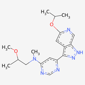 COC(C)CN(C)c1cc(-c2n[nH]c3cnc(OC(C)C)cc23)ncn1